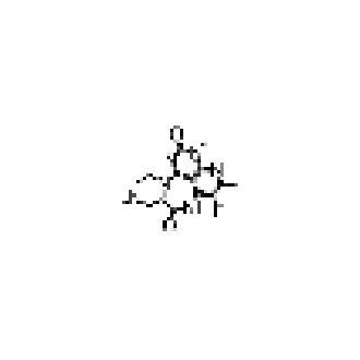 Cc1nc2c3c(nc(=O)n2I)N2CCN(C)CC2C(=O)Nc3c1F